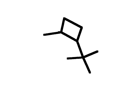 C[C]1CCC1C(C)(C)C